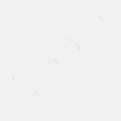 Cc1nn(CC2CCNCC2)c(C)c1NC(=O)c1cc(C(F)(F)F)nc2ccc(Br)cc12